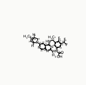 Cc1nc(N[C@H](C)c2cc(NC(=O)O)cc(C(F)F)c2F)c2cc(N3C[C@@H]4C[C@H]3CN4C)ncc2n1